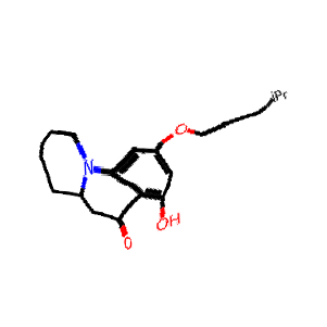 CC(C)CCCOc1cc(O)c2c(c1)N1CCCCC1CC2=O